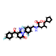 CC(CC1CCCC1)CC(NCc1cc(F)c(-n2c(N)c(C(=O)c3ccc(F)cc3)ccc2=O)c(F)c1)C(=O)O